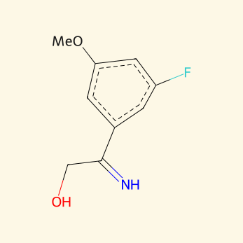 COc1cc(F)cc(C(=N)CO)c1